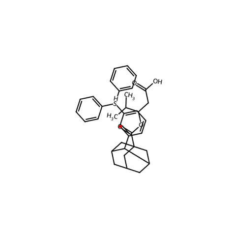 CC(C)C(CC(=O)O)OC(=O)C12CC3CC(C1)C(c1cccc([SH](c4ccccc4)c4ccccc4)c1)C(C3)C2